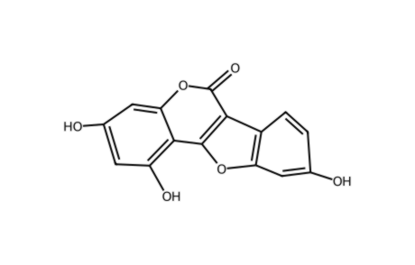 O=c1oc2cc(O)cc(O)c2c2oc3cc(O)ccc3c12